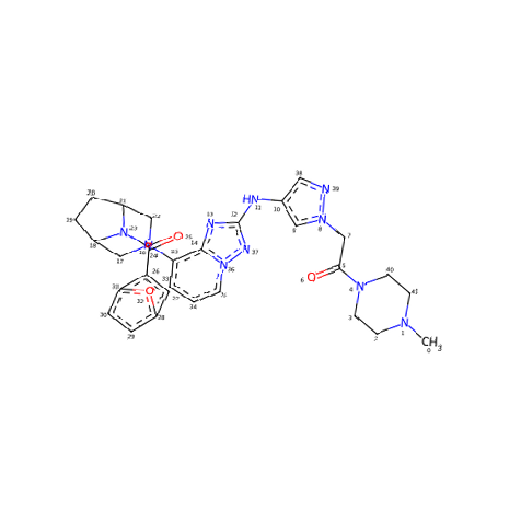 CN1CCN(C(=O)Cn2cc(Nc3nc4c(N5CC6CCC(C5)N6C(=O)c5cc6ccc5o6)cccn4n3)cn2)CC1